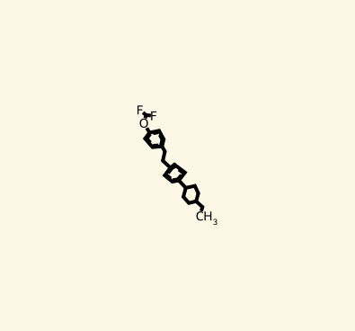 CCC1CCC(c2ccc(CCc3ccc(OC(F)F)cc3)cc2)CC1